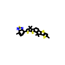 Cc1cc2sc3c(c2s1)C(C)(C)c1c-3ccc2c3c(sc12)-c1sc(-c2ccc(C)c4nsnc24)cc1C3(C)C